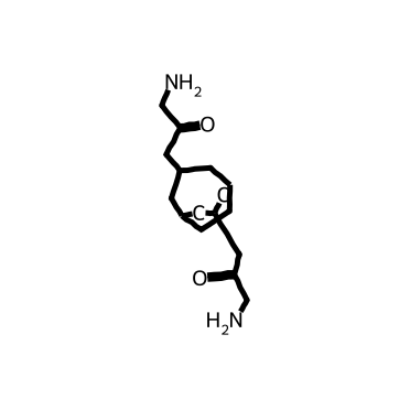 NCC(=O)CC1CC2CCC(C1)CC(CC(=O)CN)C2